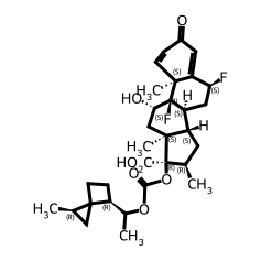 CC(OC(=O)O[C@]1(C(=O)O)[C@H](C)C[C@H]2[C@@H]3C[C@H](F)C4=CC(=O)C=C[C@]4(C)[C@@]3(F)[C@@H](O)C[C@@]21C)[C@@H]1CCC12C[C@H]2C